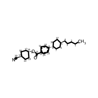 CCCCC[C@H]1CC[C@H](c2ccc(C(=O)O[C@H]3CC[C@H](C#N)CC3)cc2)CC1